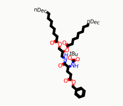 CCCCCCCCCCCCCCCCCC(=O)OCC(CNC(=O)C(CCC(=O)OCc1ccccc1)NC(=O)OC(C)(C)C)OC(=O)CCCCCCCCCCCCCCCCC